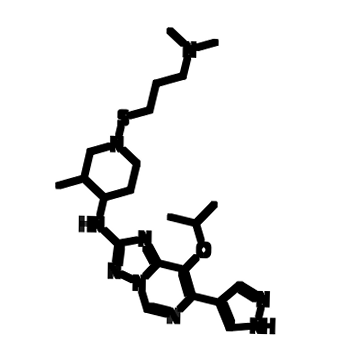 CC(C)Oc1c(-c2cn[nH]c2)ncn2nc(NC3CCN(SCCCN(C)C)CC3C)nc12